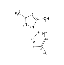 Oc1cc(C(F)(F)F)nn1-c1ccc(Cl)cn1